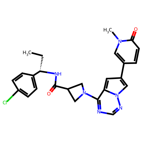 CC[C@H](NC(=O)C1CN(c2ncnn3cc(-c4ccc(=O)n(C)c4)cc23)C1)c1ccc(Cl)cc1